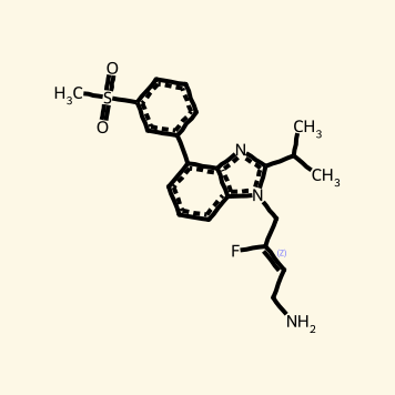 CC(C)c1nc2c(-c3cccc(S(C)(=O)=O)c3)cccc2n1C/C(F)=C/CN